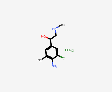 CCC(C)NCC(O)c1cc(Cl)c(N)c(C#N)c1.Cl.Cl